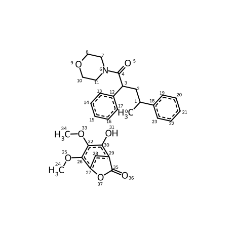 CC(CC(C(=O)N1CCOCC1)c1ccccc1)c1ccccc1.COc1c2cc(c(O)c1OC)C(=O)O2